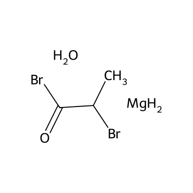 CC(Br)C(=O)Br.O.[MgH2]